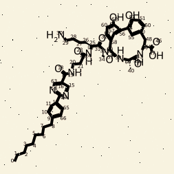 CCCCCCCCCc1ccc(-c2ncc(C(=O)NCCC(=O)N[C@@H](CCCCN)C(=O)N(C)[C@@H]3C(=O)N[C@@H](C)C(=O)N[C@H](C(=O)O)Cc4ccc(O)c(c4)-c4cc3ccc4O)cn2)cc1